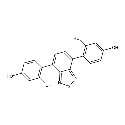 Oc1ccc(-c2ccc(-c3ccc(O)cc3O)c3nsnc23)c(O)c1